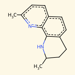 Cc1ccc2ccc3c(c2n1)NC(C)CC3